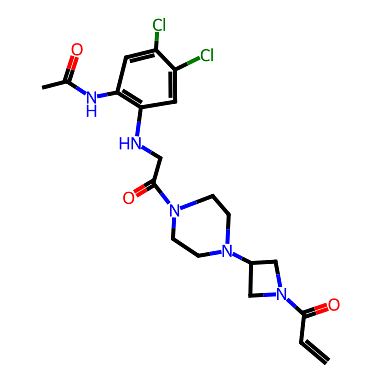 C=CC(=O)N1CC(N2CCN(C(=O)CNc3cc(Cl)c(Cl)cc3NC(C)=O)CC2)C1